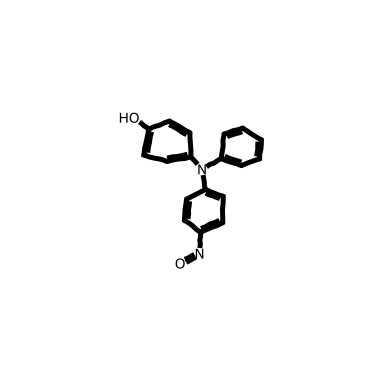 O=Nc1ccc(N(c2ccccc2)c2ccc(O)cc2)cc1